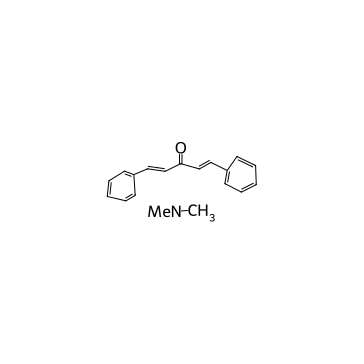 CNC.O=C(C=Cc1ccccc1)C=Cc1ccccc1